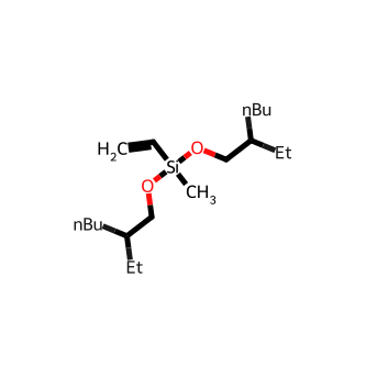 C=C[Si](C)(OCC(CC)CCCC)OCC(CC)CCCC